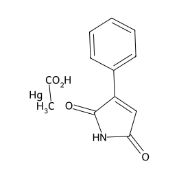 CC(=O)O.O=C1C=C(c2ccccc2)C(=O)N1.[Hg]